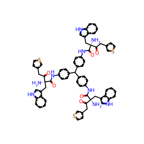 N[C@](Cc1c[nH]c2ccccc12)(C(=O)Cc1ccsc1)C(=O)Nc1ccc(C(c2ccc(NC(=O)[C@@](N)(Cc3c[nH]c4ccccc34)C(=O)Cc3ccsc3)cc2)c2ccc(NC(=O)[C@@](N)(Cc3c[nH]c4ccccc34)C(=O)Cc3ccsc3)cc2)cc1